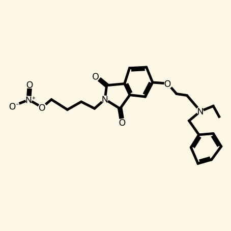 CCN(CCOc1ccc2c(c1)C(=O)N(CCCCO[N+](=O)[O-])C2=O)Cc1ccccc1